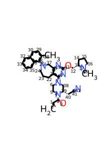 C=CC(=O)N1CCN(c2nc(OC[C@@H]3CCCN3C)nc3c2CCCN(c2c(C)ccc4ccccc24)C3)C[C@@H]1CC#N